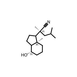 CC(C)C[C@](C)(C#N)C1CCC2[C@@H](O)CCC[C@@]21C